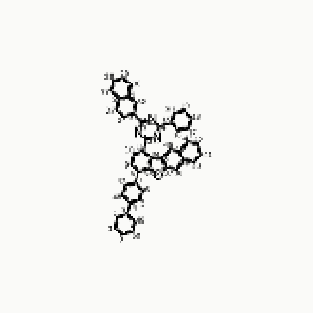 c1ccc(-c2ccc(-c3ccc(-c4nc(-c5ccccc5)nc(-c5ccc6ccccc6c5)n4)c4c3oc3cc5ccccc5cc34)cc2)cc1